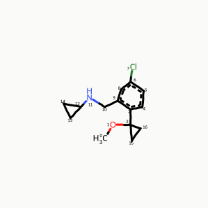 COC1(c2ccc(Cl)cc2CNC2CC2)CC1